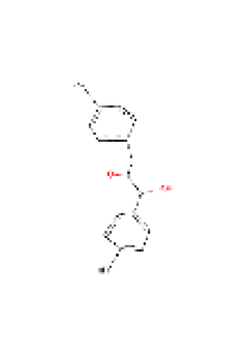 CCCc1ccc(CC(O)C(O)c2ccc(CCC)cc2)cc1